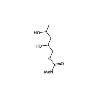 CNC(=O)OCC(O)CC(C)O